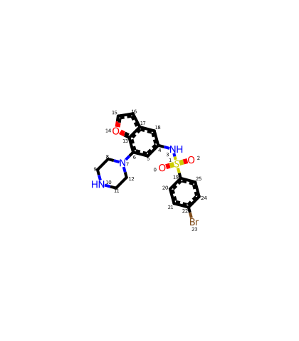 O=S(=O)(Nc1cc(N2CCNCC2)c2occc2c1)c1ccc(Br)cc1